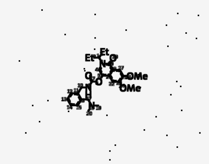 CCC(CC)n1cc(OC(=O)NCc2ccccc2CN(C)C)c2cc(OC)c(OC)cc2c1=O